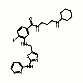 O=C(NCCCNC1CCCCC1)c1ccc(F)c(NCc2cnc(Nc3ccccn3)s2)c1